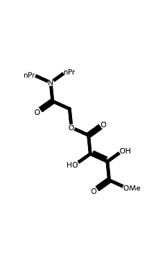 CCCN(CCC)C(=O)COC(=O)/C(O)=C(\O)C(=O)OC